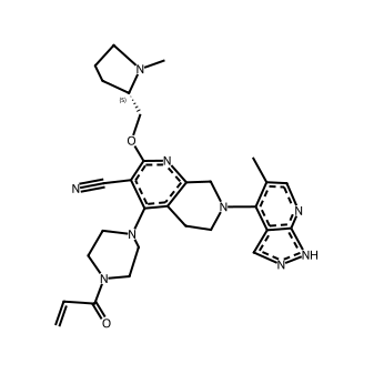 C=CC(=O)N1CCN(c2c(C#N)c(OC[C@@H]3CCCN3C)nc3c2CCN(c2c(C)cnc4[nH]ncc24)C3)CC1